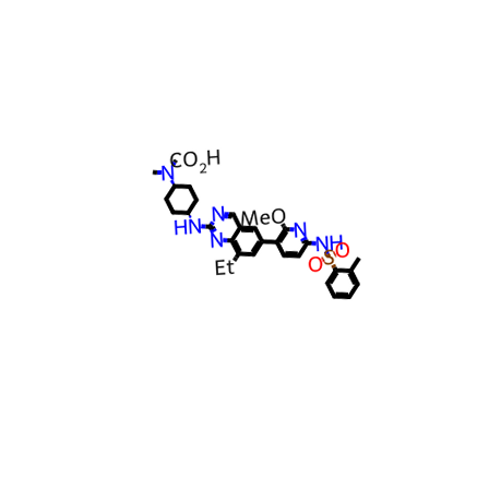 CCc1cc(-c2ccc(NS(=O)(=O)c3ccccc3C)nc2OC)cc2cnc(N[C@H]3CC[C@H](N(C)C(=O)O)CC3)nc12